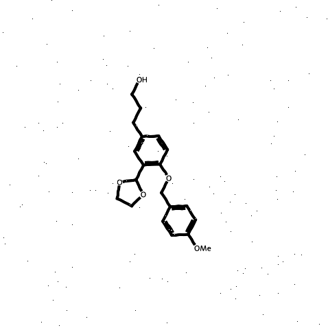 COc1ccc(COc2ccc(CCCO)cc2C2OCCO2)cc1